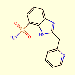 NS(=O)(=O)c1cccc2nc(Cc3ccccn3)[nH]c12